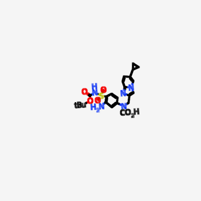 CC(C)(C)OC(=O)NS(=O)(=O)c1ccc(N(Cc2cn3cc(C4CC4)ccc3n2)C(=O)O)cc1N